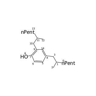 CCCCCC(C)Cc1ccc(O)c(CC(C)CCCCC)c1